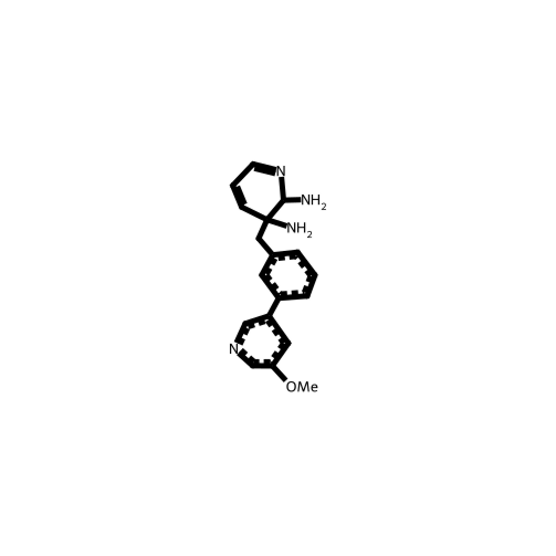 COc1cncc(-c2cccc(CC3(N)C=CC=NC3N)c2)c1